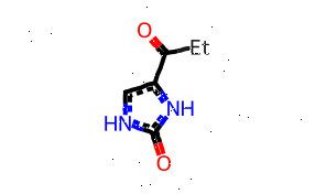 CCC(=O)c1c[nH]c(=O)[nH]1